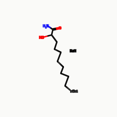 CCCCCCCCCCCCCCCCC(O)C(N)=O.[NaH]